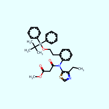 CCc1ncsc1N(C(=O)CC(=O)OC)c1ccccc1CCO[Si](c1ccccc1)(c1ccccc1)C(C)(C)C